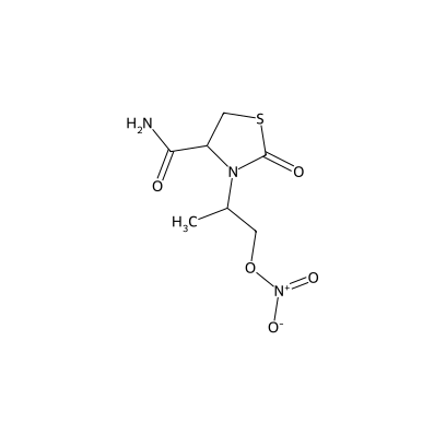 CC(CO[N+](=O)[O-])N1C(=O)SCC1C(N)=O